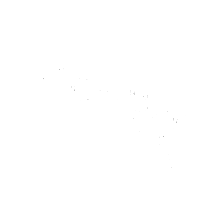 CN(C)Cc1c(OCC2CC2)ccc2c(CCC3CCN(CC4OCCCO4)CC3)noc12